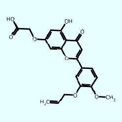 C=CCOc1cc(-c2cc(=O)c3c(O)cc(OCC(=O)O)cc3o2)ccc1OC